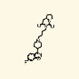 O=C1CC2CCCN2C(=O)N1CCCCN1CCC(c2noc3cc(F)ccc23)CC1